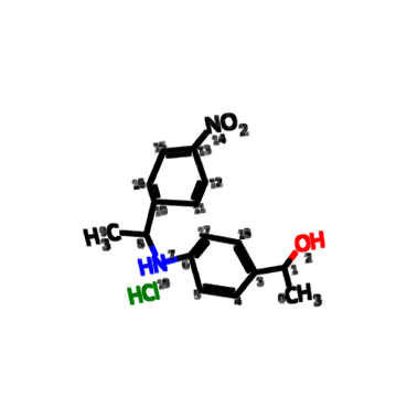 CC(O)c1ccc(NC(C)c2ccc([N+](=O)[O-])cc2)cc1.Cl